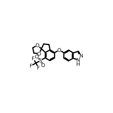 O=S(=O)(c1ccc(Oc2ccc3[nH]ncc3c2)c2c1C1(CC2)OCCO1)C(F)(F)F